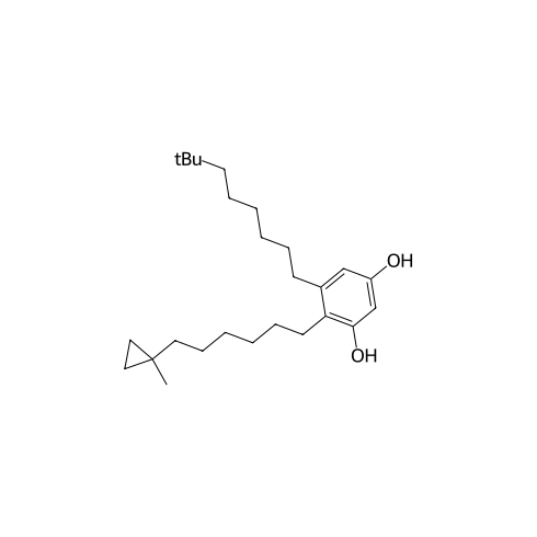 CC(C)(C)CCCCCCc1cc(O)cc(O)c1CCCCCCC1(C)CC1